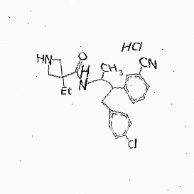 CCC1(C(=O)NC(C)C(Cc2ccc(Cl)cc2)c2cccc(C#N)c2)CNC1.Cl